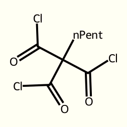 CCCCCC(C(=O)Cl)(C(=O)Cl)C(=O)Cl